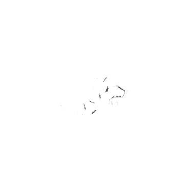 CN1CCN(Cc2ccc(-c3[nH]c4cc(F)cc5c4c3CCNC5=O)cc2)CC1